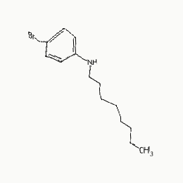 CCCCCCCCNc1ccc(Br)cc1